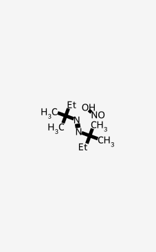 CCC(C)(C)N=NC(C)(C)CC.O=NO